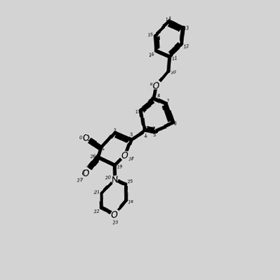 O=C1C=C(c2cccc(OCc3ccccc3)c2)OC(N2CCOCC2)C1=O